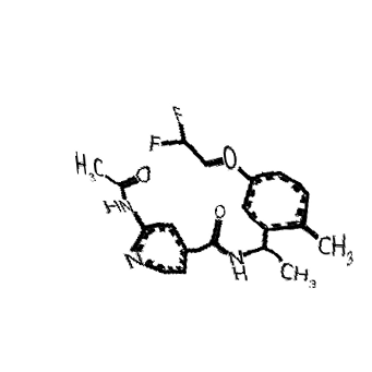 CC(=O)Nc1cc(C(=O)NC(C)c2cc(OCC(F)F)ccc2C)ccn1